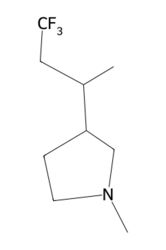 CC(CC(F)(F)F)C1CCN(C)C1